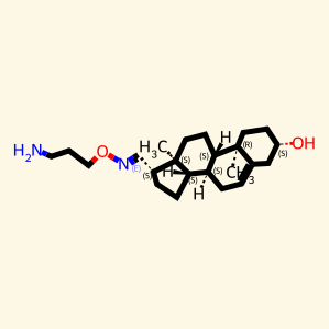 C[C@]12CC[C@H]3[C@@H](CC=C4C[C@@H](O)CC[C@@]43C)[C@@H]1CC[C@@H]2/C=N/OCCCN